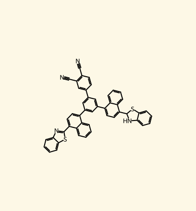 N#Cc1ccc(-c2cc(-c3ccc(-c4nc5ccccc5s4)c4ccccc34)cc(-c3ccc(C4Nc5ccccc5S4)c4ccccc34)c2)cc1C#N